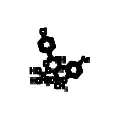 CC(=O)c1ccc2c(c1)[C@H](NC(=O)c1ccc(Cl)cc1)[C@@H](OP(=O)(O)O)C(C)(C)O2